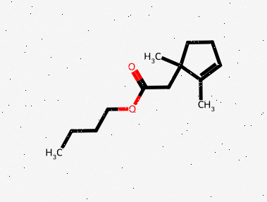 CCCCOC(=O)CC1(C)CCC=C1C